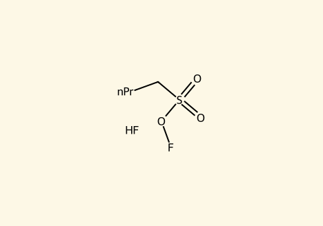 CCCCS(=O)(=O)OF.F